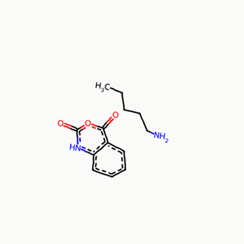 CCCCCN.O=c1[nH]c2ccccc2c(=O)o1